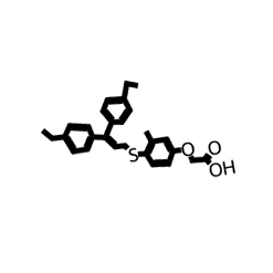 CCc1ccc(C(=CCSc2ccc(OCC(=O)O)cc2C)c2ccc(CC)cc2)cc1